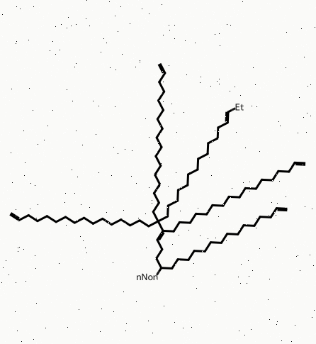 C=CCCCCCCCCCCCCCCCC(=CCCC(CCCCCCCCC)CCCCCCCCCCCCCC=C)C(CCCCCCCCCCCCC=CCC)(CCCCCCCCCCCCCCC=C)CCCCCCCCCCCCCCCC=C